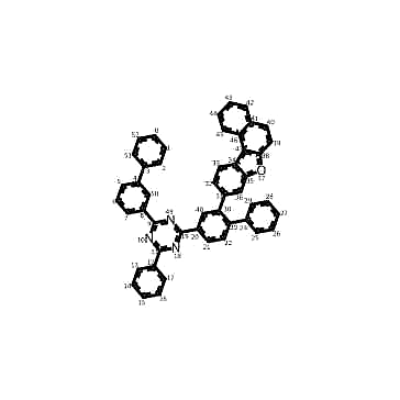 c1ccc(-c2cccc(-c3nc(-c4ccccc4)nc(-c4ccc(-c5ccccc5)c(-c5ccc6c(c5)oc5ccc7ccccc7c56)c4)n3)c2)cc1